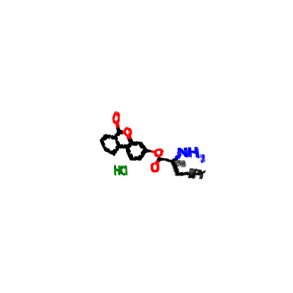 CC(C)C[C@H](N)C(=O)Oc1ccc2c(c1)oc(=O)c1ccccc12.Cl